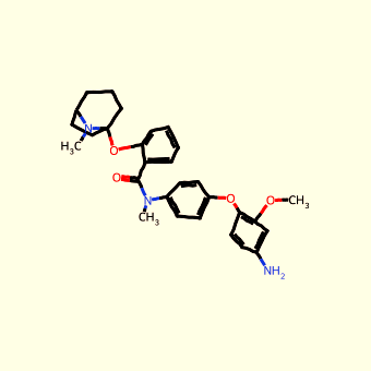 COc1cc(N)ccc1Oc1ccc(N(C)C(=O)c2ccccc2OC23CCCC(CC2)N3C)cc1